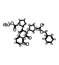 CC(C)(C)OC(=O)N1CCC[C@H]1c1nc2cccc(Cl)c2c(=O)n1[C@H]1CCN(C(=O)OCc2ccccc2)C1